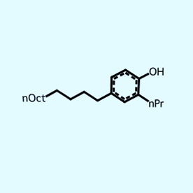 CCCCCCCCCCCCc1ccc(O)c(CCC)c1